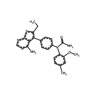 CCc1sc2ncnc(N)c2c1-c1ccc(N(C(N)=O)c2ccc(C)cc2OC)cc1